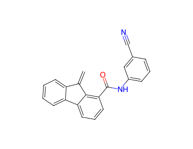 C=C1c2ccccc2-c2cccc(C(=O)Nc3cccc(C#N)c3)c21